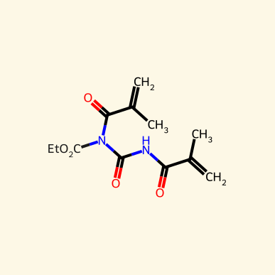 C=C(C)C(=O)NC(=O)N(C(=O)OCC)C(=O)C(=C)C